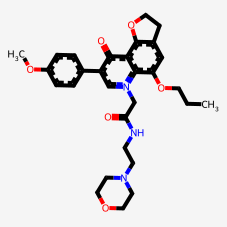 CCCOc1cc2c(c3c(=O)c(-c4ccc(OC)cc4)cn(CC(=O)NCCN4CCOCC4)c13)OCC2